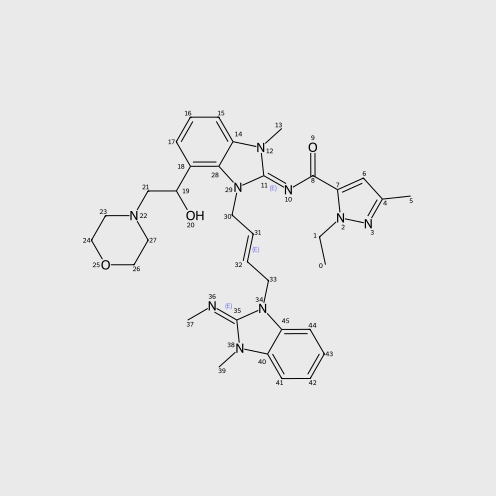 CCn1nc(C)cc1C(=O)/N=c1\n(C)c2cccc(C(O)CN3CCOCC3)c2n1C/C=C/Cn1/c(=N/C)n(C)c2ccccc21